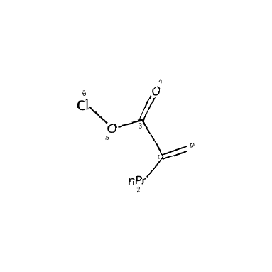 C=C(CCC)C(=O)OCl